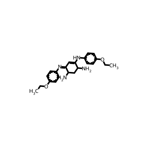 CCOc1ccc(/N=C2/C=C(Nc3ccc(OCC)cc3)C(N)CC2N)cc1